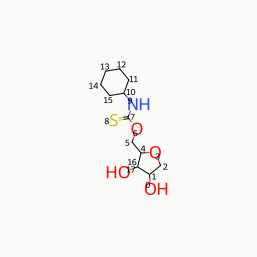 OC1COC(COC(=S)NC2CCCCC2)C1O